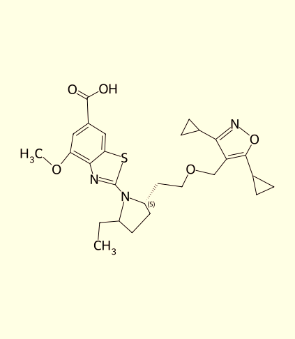 CCC1CC[C@@H](CCOCc2c(C3CC3)noc2C2CC2)N1c1nc2c(OC)cc(C(=O)O)cc2s1